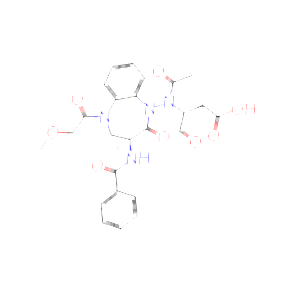 COCC(=O)N1C[C@H](NC(=O)c2ccccc2)C(=O)N(N(C(C)=O)[C@H](C=O)CC(=O)O)c2ccccc21